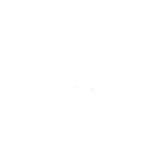 O=c1nc(-c2ccccc2)c2cc(Cl)ccc2n1CCC1CCCCC1